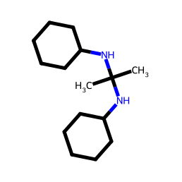 CC(C)(NC1CCCCC1)NC1CCCCC1